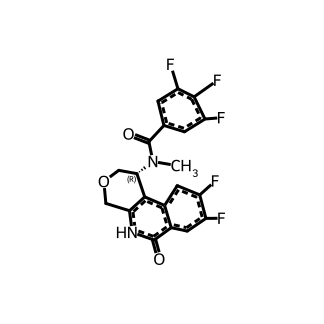 CN(C(=O)c1cc(F)c(F)c(F)c1)[C@H]1COCc2[nH]c(=O)c3cc(F)c(F)cc3c21